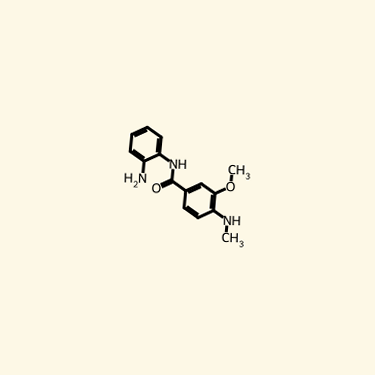 CNc1ccc(C(=O)Nc2ccccc2N)cc1OC